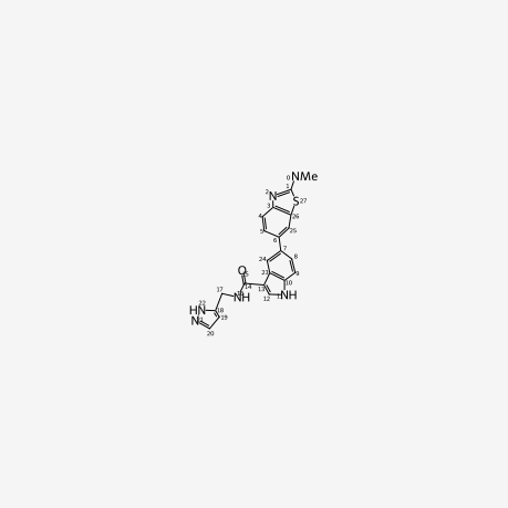 CNc1nc2ccc(-c3ccc4[nH]cc(C(=O)NCc5ccn[nH]5)c4c3)cc2s1